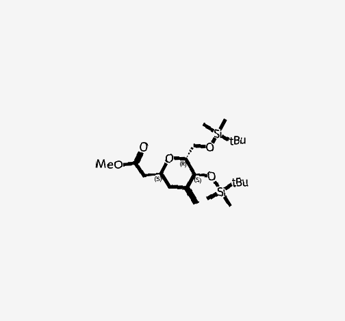 C=C1C[C@@H](CC(=O)OC)O[C@H](CO[Si](C)(C)C(C)(C)C)[C@H]1O[Si](C)(C)C(C)(C)C